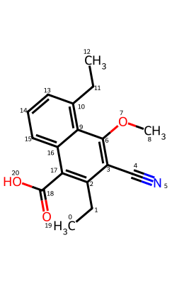 CCc1c(C#N)c(OC)c2c(CC)cccc2c1C(=O)O